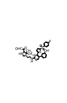 CC1(C)C(C(=O)C=O)NCN1CCNc1ncc(-c2cccc(O)c2)c(-c2ccc(S(=O)(=O)c3ccc(F)cc3)s2)n1